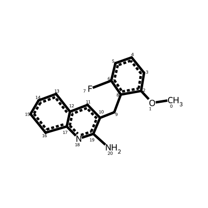 COc1cccc(F)c1Cc1cc2ccccc2nc1N